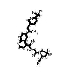 C/C(=C\c1ccc(C(F)(F)F)nc1)c1ccc2nccc(C(=O)NCC(=O)N3CC(F)(F)CC3C#N)c2c1